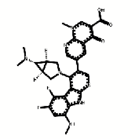 CNc1cc(F)c(F)c2c1[nH]c1ncc(-c3cnc4c(c3)c(=O)c(C(=O)O)cn4C)c(N3C[C@@H]4[C@H](C3)[C@H]4N(C)C)c12